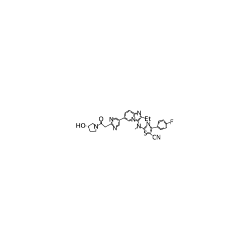 CCc1nc2ccc(-c3cnc(CC(=O)N4CC[C@H](O)C4)nc3)cn2c1N(C)c1nc(-c2ccc(F)cc2)c(C#N)s1